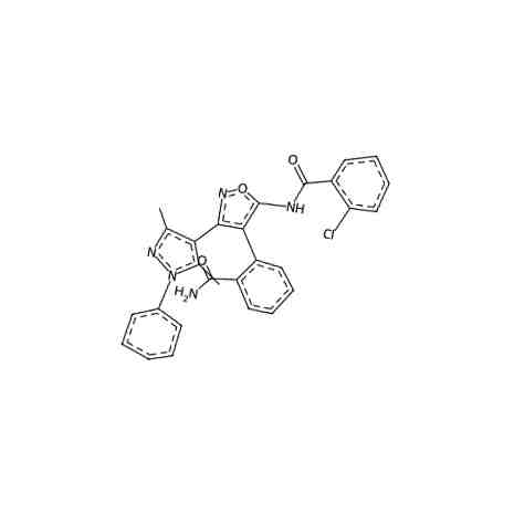 Cc1nn(-c2ccccc2)c(C)c1-c1noc(NC(=O)c2ccccc2Cl)c1-c1ccccc1C(N)=O